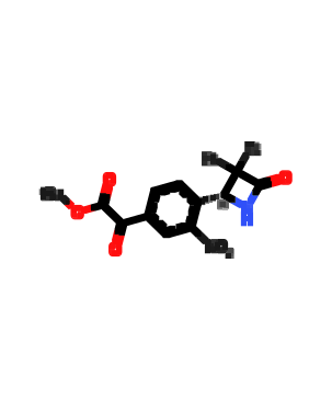 CCC1(CC)C(=O)N[C@@H]1c1ccc(C(=O)C(=O)OC(C)(C)C)cc1[N+](=O)[O-]